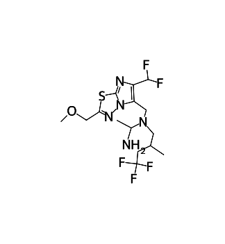 COCc1nn2c(CN(CC(C)CC(F)(F)F)C(C)N)c(C(F)F)nc2s1